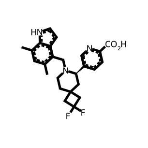 Cc1cc(C)c2[nH]ccc2c1CN1CCC2(C[C@@H]1c1ccc(C(=O)O)nc1)CC(F)(F)C2